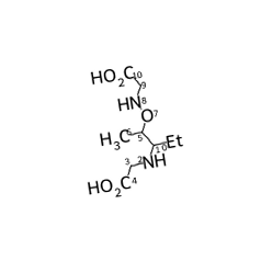 CCC(NCC(=O)O)C(C)ONCC(=O)O